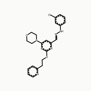 Clc1cccc(NN=Cc2cc(N3CCOCC3)nc(OCCc3ccccn3)n2)c1